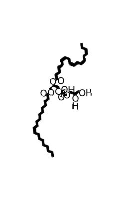 CC/C=C\C/C=C\C/C=C\C/C=C\CCCCC(=O)O[C@H](COC(=O)CCCCCCCCC/C=C\CCCCCCCC)COP(=O)(O)OC[C@@H](O)CO